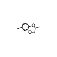 Cc1ccc2c(c1)OCC(C)O2